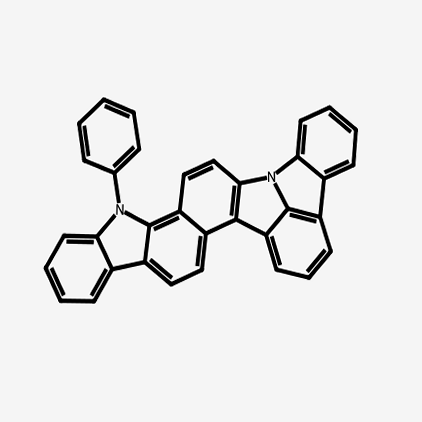 c1ccc(-n2c3ccccc3c3ccc4c(ccc5c4c4cccc6c7ccccc7n5c64)c32)cc1